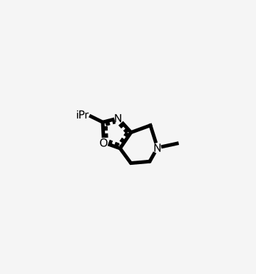 CC(C)c1nc2c(o1)CCN(C)C2